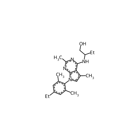 CCc1cc(C)c(-n2cc(C)c3c(NC(CC)CO)nc(C)nc32)c(C)c1